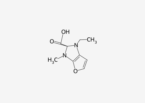 CCN1c2ccoc2N(C)C1C(=O)O